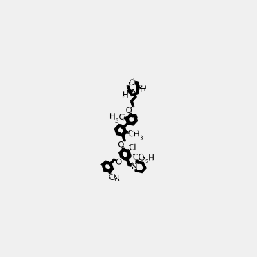 Cc1c(COc2cc(OCc3cccc(C#N)c3)c(CN3CCCCC3C(=O)O)cc2Cl)cccc1-c1cccc(OCCCN2[C@@H]3CC[C@H]2COC3)c1C